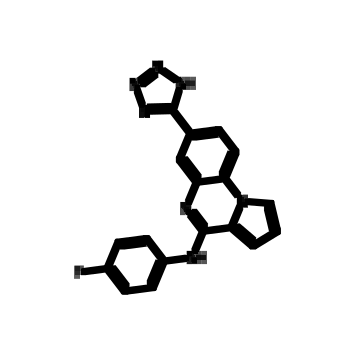 Fc1ccc(Nc2nc3cc(-c4nnn[nH]4)ccc3n3cccc23)cc1